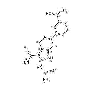 C[C@H](O)c1cccc(-c2ccc3c(C(N)=O)c(NC(N)=O)[nH]c3c2)c1